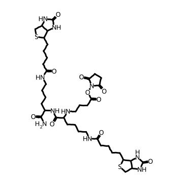 NC(=O)C(CCCCNC(=O)CCCCC1SCC2NC(=O)NC21)NC(=O)C(CCCCNC(=O)CCCCC1SCC2NC(=O)NC21)NCCCC(=O)ON1C(=O)CCC1=O